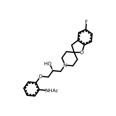 CC(=O)Nc1ccccc1OC[C@@H](O)CN1CCC2(CC1)Cc1cc(F)ccc1O2